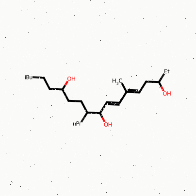 CCCC(CCC(O)CCC(C)CC)C(O)/C=C/C(C)=C/CC(O)CC